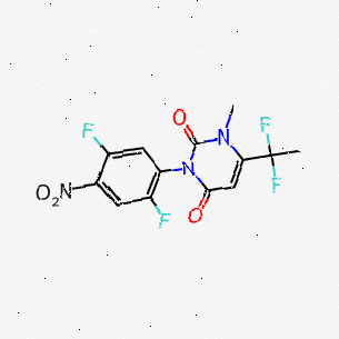 Cn1c(C(C)(F)F)cc(=O)n(-c2cc(F)c([N+](=O)[O-])cc2F)c1=O